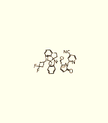 N#Cc1ccnc(N2C(=O)C=C[C@H]2C(=O)N(c2ccccc2)[C@@]2(C(=O)NC3CC(F)(F)C3)CCc3ccccc32)c1